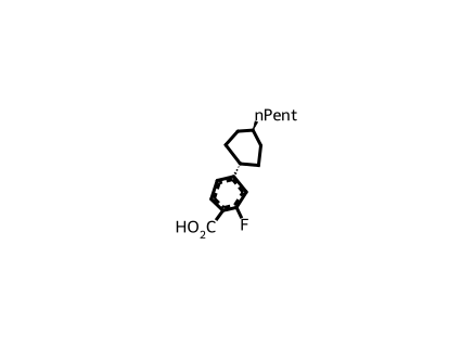 CCCCC[C@H]1CC[C@H](c2ccc(C(=O)O)c(F)c2)CC1